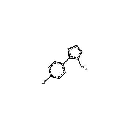 Cc1ccsc1-c1ccc(Cl)cc1